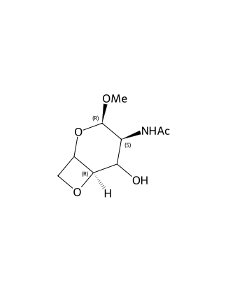 CO[C@@H]1OC2CO[C@@H]2C(O)[C@@H]1NC(C)=O